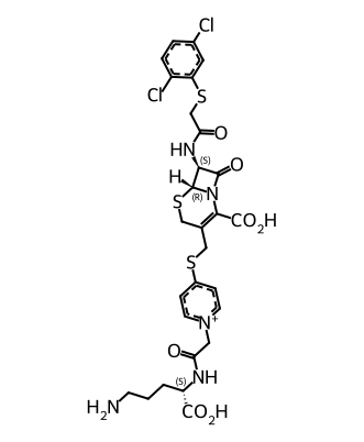 NCCC[C@H](NC(=O)C[n+]1ccc(SCC2=C(C(=O)O)N3C(=O)[C@H](NC(=O)CSc4cc(Cl)ccc4Cl)[C@H]3SC2)cc1)C(=O)O